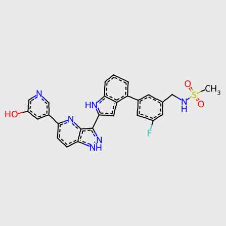 CS(=O)(=O)NCc1cc(F)cc(-c2cccc3[nH]c(-c4n[nH]c5ccc(-c6cncc(O)c6)nc45)cc23)c1